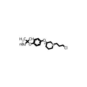 CCCCC(C)(C)Oc1ccc(O[C@@H]2CCCN(CCCCl)C2)cc1